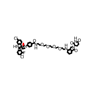 O=C1CCC(N2Cc3c(NCCOCCOCCOCCOCCNC(=O)c4ccc(N5C[C@H](c6cccc(Cl)c6F)[C@]6(C(=O)Nc7cc(Cl)ccc76)C56CCCCC6)cc4)cccc3C2=O)C(=O)N1